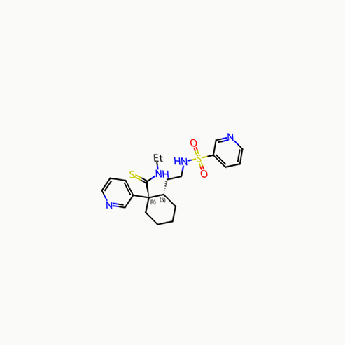 CCNC(=S)[C@]1(c2cccnc2)CCCC[C@H]1CCNS(=O)(=O)c1cccnc1